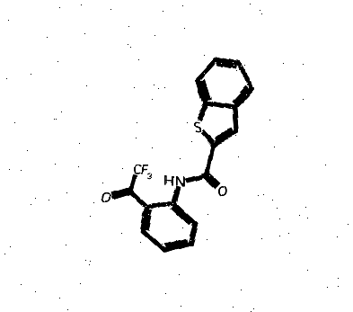 O=C(Nc1ccccc1C(=O)C(F)(F)F)c1cc2ccccc2s1